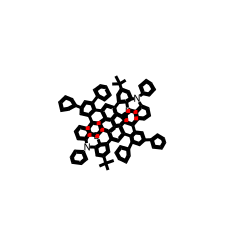 CC(C)(C)c1cc2c3c(c1)N(c1ccccc1)c1ccccc1B3c1cc3c(-c4c(-c5ccccc5)cc(-c5ccccc5)cc4-c4ccccc4)cc4c5c(cc6c(-c7c(-c8ccccc8)cc(-c8ccccc8)cc7-c7ccccc7)cc-2c1c6c35)B1c2ccccc2N(c2ccccc2)c2cc(C(C)(C)C)cc-4c21